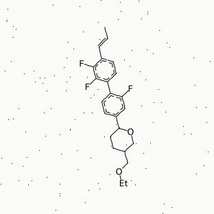 C/C=C/c1ccc(-c2ccc(C3CCC(COCC)CO3)cc2F)c(F)c1F